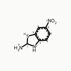 NC1Nc2ccc([N+](=O)[O-])cc2S1